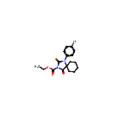 CCOC(=O)N1C(=O)C2(CCCCC2)N(c2ccc(Cl)cc2)C1=S